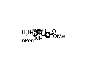 CCCCCNc1nc(N)nc2ccn(Cc3ccc(C(=O)OC)cc3OC)c12